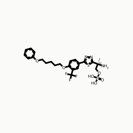 C[C@](N)(COP(=O)(O)O)c1nnc(-c2ccc(OCCCCCOc3ccccc3)c(C(F)(F)F)c2)s1